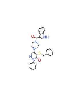 O=C(c1c[nH]c2ccccc12)N1CCN(c2cnn(-c3ccccc3)c(=O)c2SCc2ccccc2)CC1